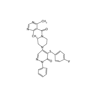 Cc1ncnc(C)c1C(=O)N1CCN(c2cnn(-c3ccccc3)c(=O)c2Sc2ccc(F)cc2)CC1